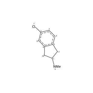 CNC1Cc2ccc(Cl)cc2C1